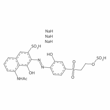 CC(=O)Nc1cccc2cc(S(=O)(=O)O)c(N=Nc3ccc(S(=O)(=O)CCOS(=O)(=O)O)cc3O)c(O)c12.[NaH].[NaH].[NaH]